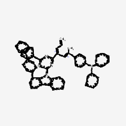 C=C/C=C(\C=C(/C)c1ccc(N(c2ccccc2)c2ccccc2)cc1)c1nc(-c2ccccc2)nc(-n2c3ccccc3c3cccc(-c4ccc(-c5ccccc5)cc4)c32)n1